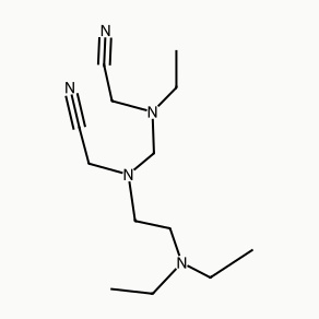 CCN(CC)CCN(CC#N)CN(CC)CC#N